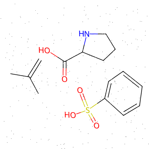 C=C(C)C.O=C(O)C1CCCN1.O=S(=O)(O)c1ccccc1